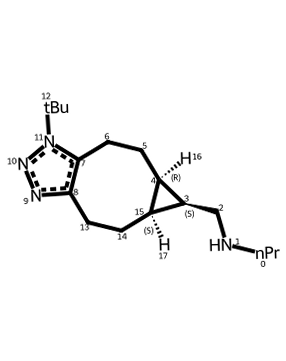 CCCNC[C@@H]1[C@@H]2CCc3c(nnn3C(C)(C)C)CC[C@@H]21